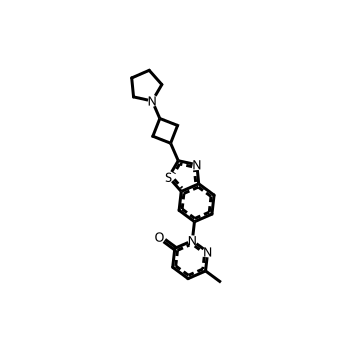 Cc1ccc(=O)n(-c2ccc3nc(C4CC(N5CCCC5)C4)sc3c2)n1